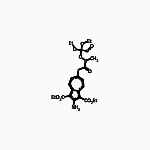 CCOC(=O)c1c2ccc(CC(=O)N(C)OC(OCC)(OCC)P=O)ccc-2c(C(=O)OCC)c1N